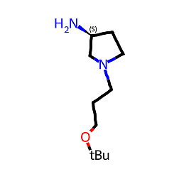 CC(C)(C)OCCCN1CC[C@H](N)C1